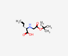 C=CC[C@H](NCC(=O)OC(C)(C)C)C(=O)O